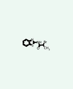 CC(Br)C(=O)Nc1nc2ccccc2s1